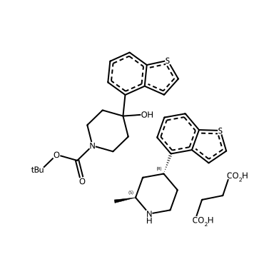 CC(C)(C)OC(=O)N1CCC(O)(c2cccc3sccc23)CC1.C[C@H]1C[C@H](c2cccc3sccc23)CCN1.O=C(O)CCC(=O)O